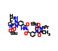 C=C1CCN(C(=O)OC(C)(C)C)[C@@H]1c1nc2cc(C(=O)NCC(=O)c3cccc(NC(=O)[C@H](C)N(CCC)C(=O)OC(C)(C)C)c3)ccc2[nH]1